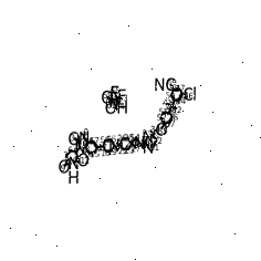 Cn1c(=O)n(C2CCC(=O)NC2=O)c2ccc(C3CCN(C4CCC5(CC4)CN(c4nccc(COc6ccc(C(C)(C)c7cc(Cl)cc(C#N)c7)cc6)n4)C5)CC3)cc21.O=C(O)C(F)(F)F